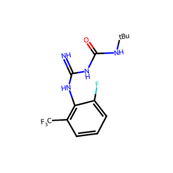 CC(C)(C)NC(=O)NC(=N)Nc1c(F)cccc1C(F)(F)F